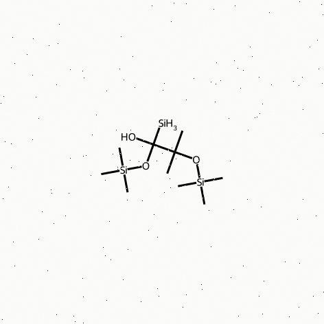 CC(C)(O[Si](C)(C)C)C(O)([SiH3])O[Si](C)(C)C